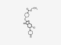 CCOC(=O)N1CCC(Sc2nc3cc(Cl)c(N4CCNCC4)cc3[nH]2)CC1